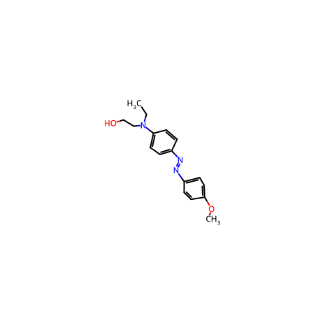 CCN(CCO)c1ccc(N=Nc2ccc(OC)cc2)cc1